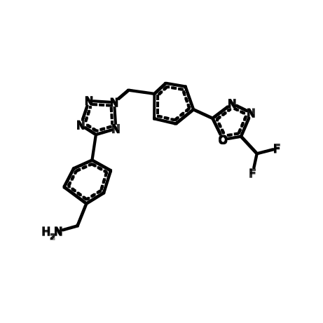 NCc1ccc(-c2nnn(Cc3ccc(-c4nnc(C(F)F)o4)cc3)n2)cc1